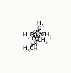 CCNC(C)O[Si](C)(OCC)OCC